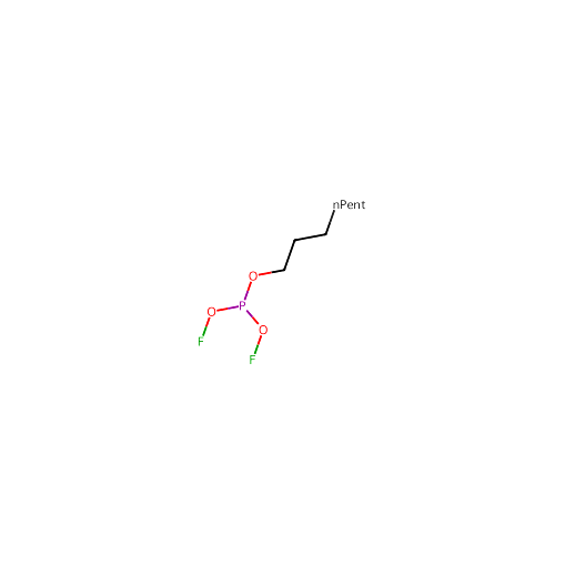 CCCCCCCCOP(OF)OF